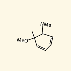 CNC1C=CC=CC1(C)OC